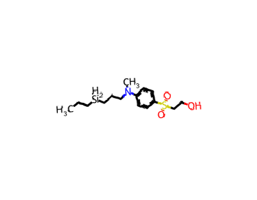 CCC[SiH2]CCCN(C)c1ccc(S(=O)(=O)CCO)cc1